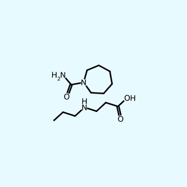 CCCNCCC(=O)O.NC(=O)N1CCCCCC1